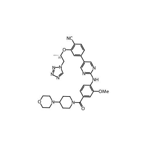 COc1cc(C(=O)N2CCC(N3CCOCC3)CC2)ccc1Nc1ncc(-c2ccc(C#N)c(O[C@@H](C)Cn3cnnn3)c2)cn1